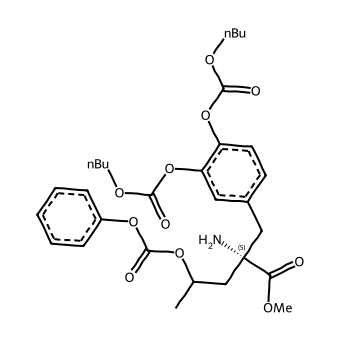 CCCCOC(=O)Oc1ccc(C[C@](N)(CC(C)OC(=O)Oc2ccccc2)C(=O)OC)cc1OC(=O)OCCCC